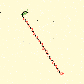 CC(F)(F)CC(F)(F)CC(F)(F)CCOCCOCCOCCOCCOCCOCCOCCOCCOCCOCCOCCOCCOCCOCCOCCO